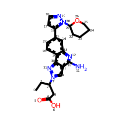 CCC(CC(=O)O)n1cc2c(N)nc3cc(-c4ccnn4C4CCCCO4)ccc3c2n1